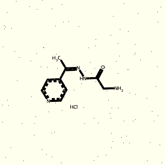 C/C(=N/NC(=O)CN)c1ccncc1.Cl